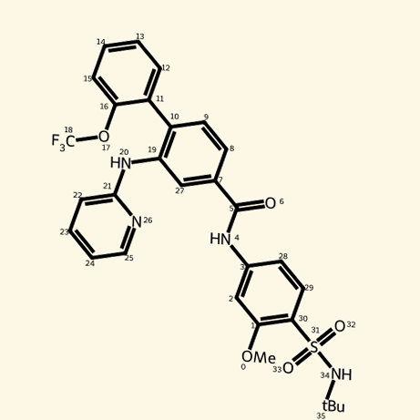 COc1cc(NC(=O)c2ccc(-c3ccccc3OC(F)(F)F)c(Nc3ccccn3)c2)ccc1S(=O)(=O)NC(C)(C)C